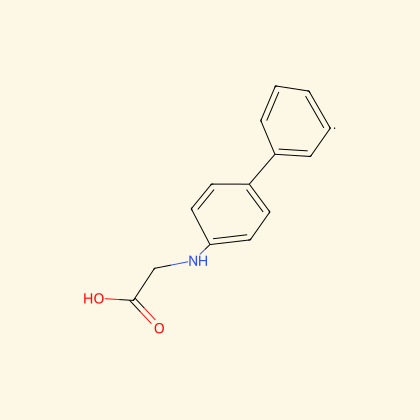 O=C(O)CNc1ccc(-c2c[c]ccc2)cc1